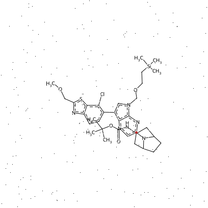 COCc1nc2ccc(-c3cn(COCC[Si](C)(C)C)c4nc(N5C6CCC5CC(NC(=O)OC(C)(C)C)C6)cnc34)c(Cl)c2s1